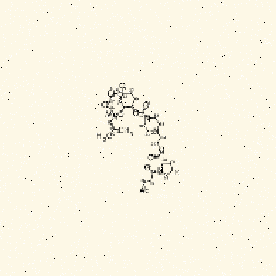 CO[C@H]1[C@H](C2(C)O[C@@H]2CC=C(C)C)[C@]2(CC[C@H]1OC(=O)N1CCN(CCOC(=O)[C@@H]3CCCN3C(=O)CCC(C)=O)CC1)CO2